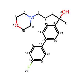 CC(O)(CCCN1CCOCC1)c1ccc(-c2ccc(F)cc2)cc1